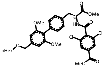 CCCCCCOCc1cc(OC)c(-c2ccc(C[C@H](NC(=O)c3c(Cl)cc(C(=O)OC)cc3Cl)C(=O)OC)cc2)c(OC)c1